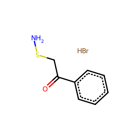 Br.NSCC(=O)c1ccccc1